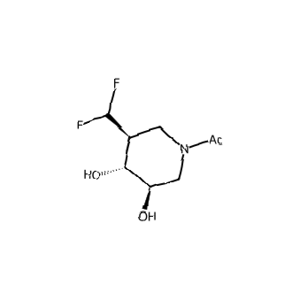 CC(=O)N1C[C@@H](O)[C@H](O)[C@@H](C(F)F)C1